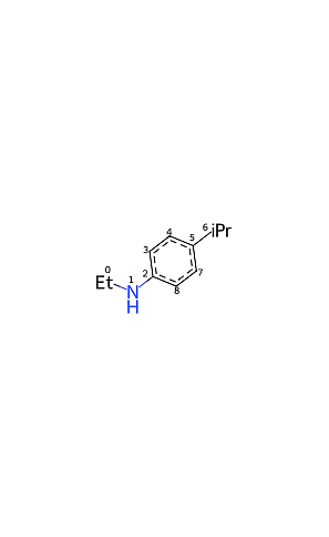 CCNc1ccc(C(C)C)cc1